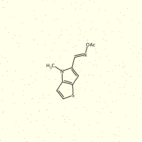 CC(=O)O/N=C/c1cc2sccc2n1C